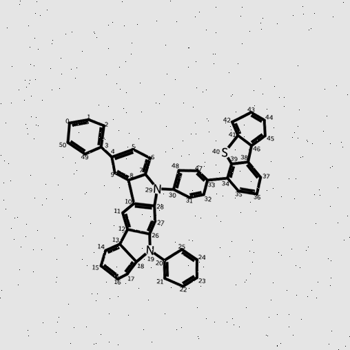 c1ccc(-c2ccc3c(c2)c2cc4c5ccccc5n(-c5ccccc5)c4cc2n3-c2ccc(-c3cccc4c3sc3ccccc34)cc2)cc1